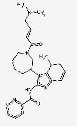 CC1CC=Cc2nc(NC(=O)c3cccnn3)n(C3CCCCN(C(=O)/C=C/CN(C)C)C3)c21